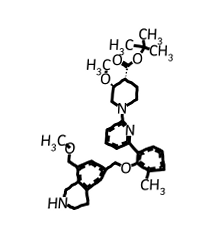 COCc1cc(COc2c(C)cccc2-c2cccc(N3CC[C@@H](C(=O)OC(C)(C)C)[C@@H](OC)C3)n2)cc2c1CNCC2